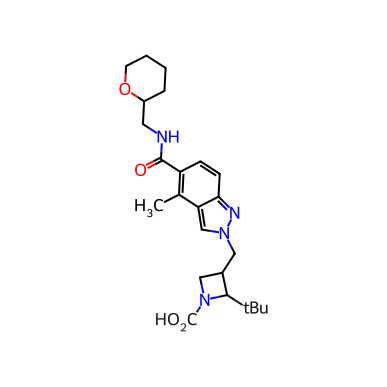 Cc1c(C(=O)NCC2CCCCO2)ccc2nn(CC3CN(C(=O)O)C3C(C)(C)C)cc12